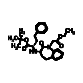 CCOC(=O)CN1C(=O)[C@@H](N[C@@H](CCc2ccccc2)C(=O)OC(C)(C)C)CCc2ccccc21